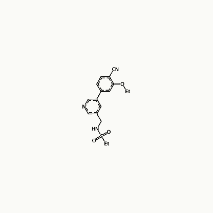 CCOc1cc(-c2cncc(CNS(=O)(=O)CC)c2)ccc1C#N